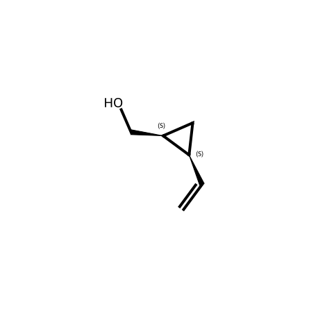 C=C[C@@H]1C[C@@H]1CO